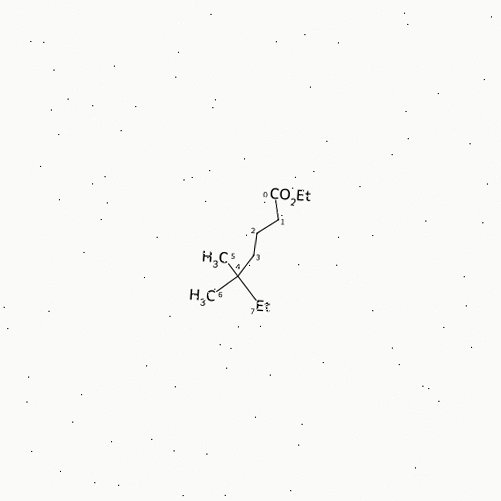 CCOC(=O)CCCC(C)(C)CC